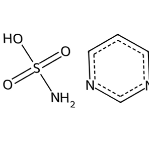 NS(=O)(=O)O.c1cncnc1